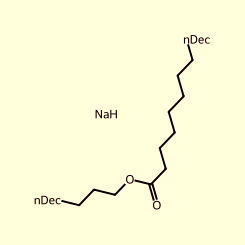 CCCCCCCCCCCCCCCCCC(=O)OCCCCCCCCCCCCC.[NaH]